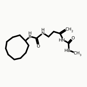 C=C(CCNC(=O)BC1CCCCCCCCC1)NC(=O)BC